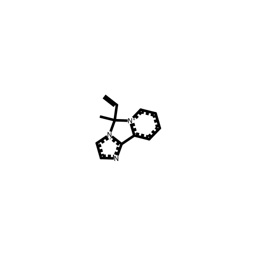 C=CC1(C)n2ccnc2-c2cccc[n+]21